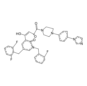 O=C(/C=C(/O)c1cc(Cc2c(F)cccc2F)cn(Cc2ccccc2F)c1=O)C(=O)N1CCN(c2ccc(-n3ccnc3)cc2)CC1